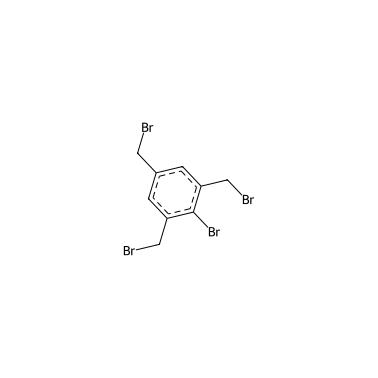 BrCc1cc(CBr)c(Br)c(CBr)c1